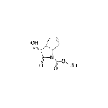 CC(C)(C)OC(=O)N1C(=O)/C(=C/O)C2CC=CC21